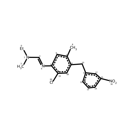 CCN(C)C=Nc1cc(C)c(Cc2cccc([N+](=O)[O-])c2)cc1Cl